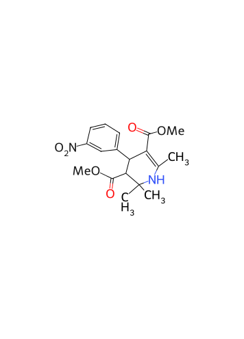 COC(=O)C1=C(C)NC(C)(C)C(C(=O)OC)C1c1cccc([N+](=O)[O-])c1